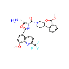 COC(=O)c1ccccc1C1CCN(C(=O)c2nc(-c3ccc(OC)c4nc(C(F)(F)F)ccc34)oc2CN)CC1